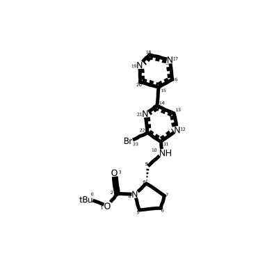 CC(C)(C)OC(=O)N1CCC[C@H]1CNc1ncc(-c2cncnc2)nc1Br